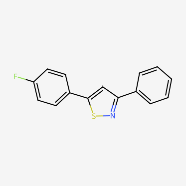 Fc1ccc(-c2[c]c(-c3ccccc3)ns2)cc1